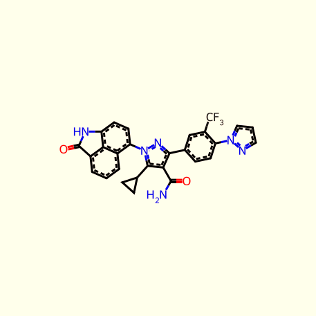 NC(=O)c1c(-c2ccc(-n3cccn3)c(C(F)(F)F)c2)nn(-c2ccc3c4c(cccc24)C(=O)N3)c1C1CC1